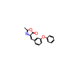 CC1=NC(=Cc2cccc(Oc3ccccc3)c2)C(=O)O1